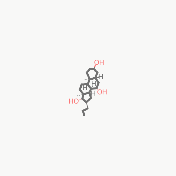 CCC[C@@H]1C[C@H]2[C@@H]3[C@@H](O)C[C@H]4C[C@H](O)CC[C@]4(C)[C@H]3CC[C@]2(C)[C@H]1O